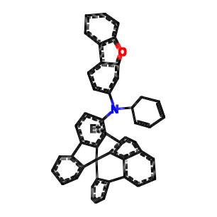 CCc1ccc2cccc3c2c1C1(c2ccccc2-c2ccc(N(c4ccc5c(c4)oc4ccccc45)C4C=CC=CC4)cc21)c1ccccc1-3